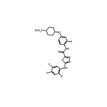 CCOC(=O)[C@H]1CC[C@@H](Oc2ccc(NC(=O)c3nnc(Nc4cc(F)c(F)cc4F)o3)c(F)c2)CC1